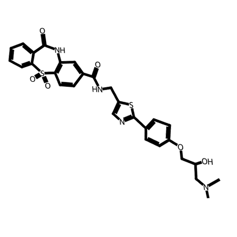 CN(C)CC(O)COc1ccc(-c2ncc(CNC(=O)c3ccc4c(c3)NC(=O)c3ccccc3S4(=O)=O)s2)cc1